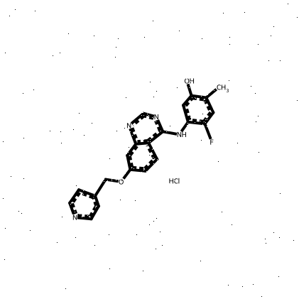 Cc1cc(F)c(Nc2ncnc3cc(OCc4ccncc4)ccc23)cc1O.Cl